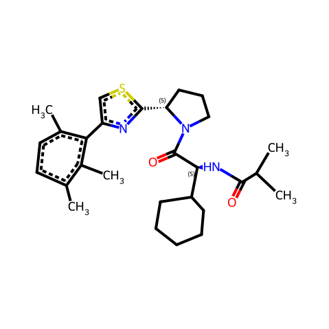 Cc1ccc(C)c(-c2csc([C@@H]3CCCN3C(=O)[C@@H](NC(=O)C(C)C)C3CCCCC3)n2)c1C